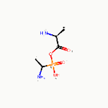 CC(N)P(=O)(O)OC(=O)[C@H](C)N